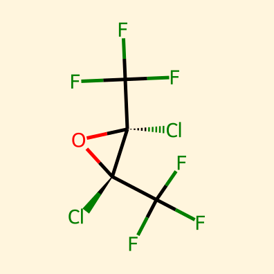 FC(F)(F)[C@]1(Cl)O[C@@]1(Cl)C(F)(F)F